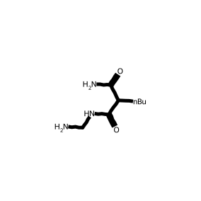 CCCCC(C(N)=O)C(=O)NCN